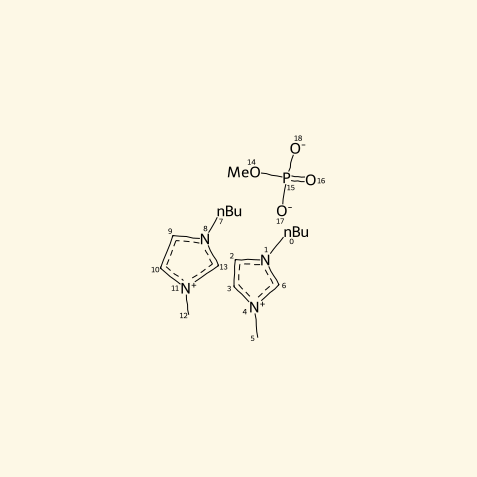 CCCCn1cc[n+](C)c1.CCCCn1cc[n+](C)c1.COP(=O)([O-])[O-]